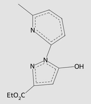 CCOC(=O)c1cc(O)n(-c2cccc(C)n2)n1